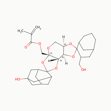 C=C(C)C(=O)OC[C@@]12OC[C@H]3OC4(O[C@H]3[C@@H]1OC1(O2)C2CC3CC1CC(O)(C3)C2)C(CO)CC1CCCC4C1